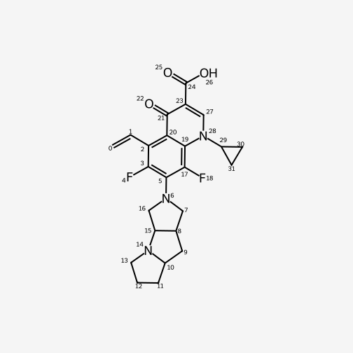 C=Cc1c(F)c(N2CC3CC4CCCN4C3C2)c(F)c2c1c(=O)c(C(=O)O)cn2C1CC1